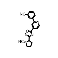 N#Cc1cccc(-c2cc(-c3nc(C4CCCN4C#N)no3)ccn2)c1